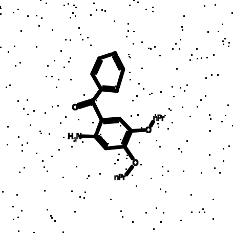 CCCOc1cc(N)c(C(=O)c2ccccc2)cc1OCCC